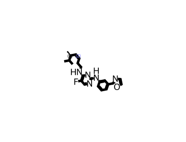 CC(C)[C@@H](C)/C=C\CCNc1nc(Nc2cccc(-c3ncco3)c2)ncc1F